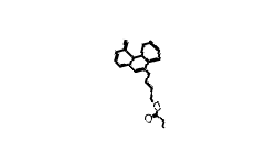 C=C1C=CC=C2C=C(CCCCOC(=O)CC)C3=CC=CCC3C12